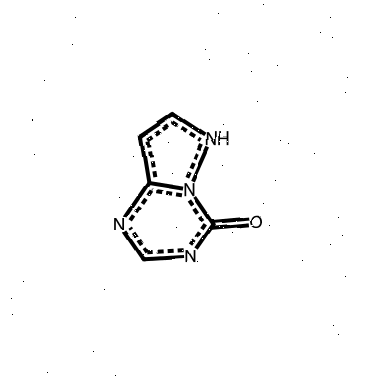 O=c1ncnc2cc[nH]n12